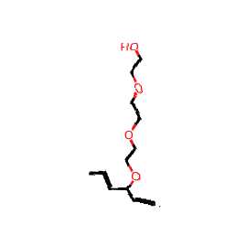 [CH]=CC(C=CC)OCCOCCOCCO